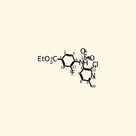 CCOC(=O)c1ccc(N(c2ccc(C)nc2Cl)[SH](=O)=O)c(F)c1